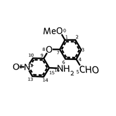 COc1ccc(C=O)cc1Oc1c[n+]([O-])ccc1N